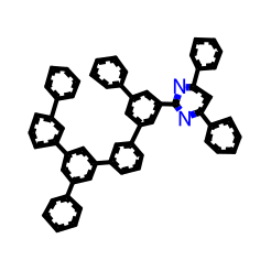 c1ccc(-c2cccc(-c3cc(-c4ccccc4)cc(-c4cccc(-c5cc(-c6ccccc6)cc(-c6nc(-c7ccccc7)cc(-c7ccccc7)n6)c5)c4)c3)c2)cc1